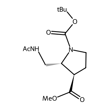 COC(=O)[C@@H]1CCN(C(=O)OC(C)(C)C)[C@H]1CNC(C)=O